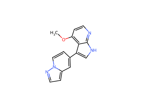 COc1ccnc2[nH]cc(-c3ccn4nccc4c3)c12